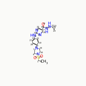 CCS(=O)(=O)N1CCN(c2ccc(Nc3ncc(C(=O)NNC4CC4)cn3)cc2)CC1